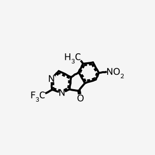 Cc1cc([N+](=O)[O-])cc2c1-c1cnc(C(F)(F)F)nc1C2=O